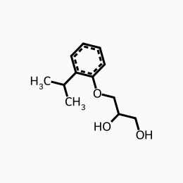 CC(C)c1ccccc1OCC(O)CO